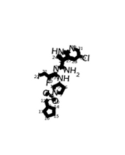 N/C(=N\C(N[C@@H]1CCN(S(=O)(=O)CC2CCCC2)C1)=C(\F)CI)c1c[nH]c2c1=CC(Cl)CN=2